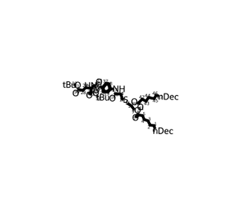 CCCCCCCCCCCCCCCC(=O)OCC(CSCCC(=O)Nc1ccc(S(=O)(=O)NC(CCC(=O)OC(C)(C)C)C(=O)OC(C)(C)C)cc1)OC(=O)CCCCCCCCCCCCCCC